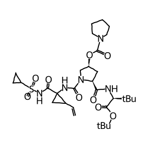 C=CC1CC1(NC(=O)N1C[C@@H](OC(=O)N2CCCCC2)C[C@H]1C(=O)N[C@H](C(=O)OC(C)(C)C)C(C)(C)C)C(=O)NS(=O)(=O)C1CC1